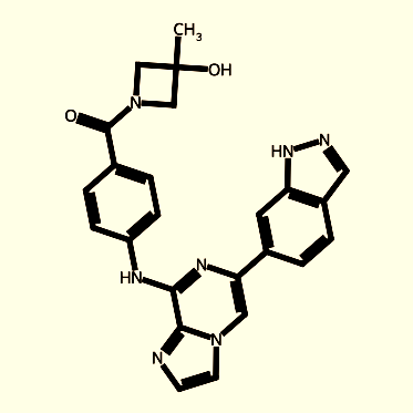 CC1(O)CN(C(=O)c2ccc(Nc3nc(-c4ccc5cn[nH]c5c4)cn4ccnc34)cc2)C1